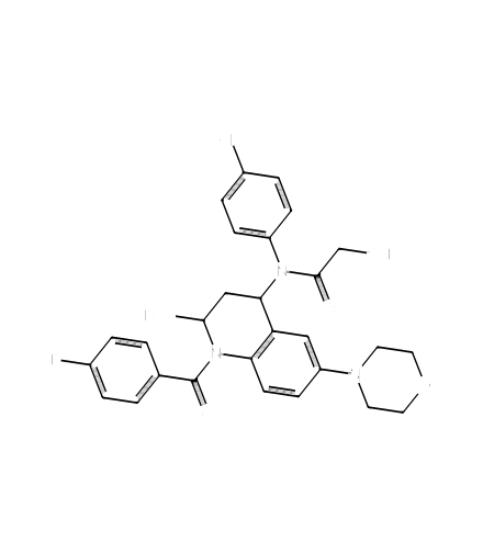 CCC(=O)N(c1ccc(Cl)cc1)C1CC(C)N(C(=O)c2ccc(F)cc2)c2ccc(N3CCOCC3)cc21